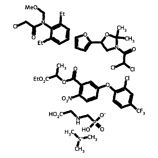 CC1(C)OC(c2ccco2)CN1C(=O)C(Cl)Cl.CCOC(=O)C(C)OC(=O)c1cc(Oc2ccc(C(F)(F)F)cc2Cl)ccc1[N+](=O)[O-].CCc1cccc(CC)c1N(COC)C(=O)CCl.C[S+](C)C.O=C(O)CNCP(=O)([O-])O